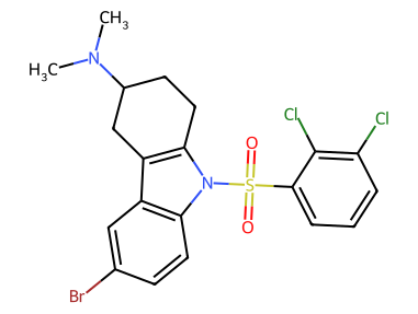 CN(C)C1CCc2c(c3cc(Br)ccc3n2S(=O)(=O)c2cccc(Cl)c2Cl)C1